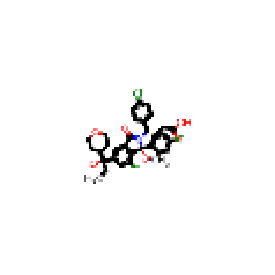 CC[C@@](O)(c1cc(F)c2c(c1)C(=O)N([C@@H](CCC(=O)O)c1ccc(Cl)cc1)[C@@]2(OC)c1ccc(Cl)cc1)C1CCOCC1